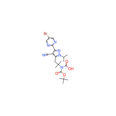 CC(C)n1nc(-c2ncc(Br)cn2)c(C#N)c1CC(C)(C)N(C(=O)O)C(=O)OC(C)(C)C